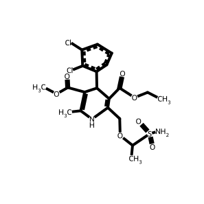 CCOC(=O)C1=C(COC(C)S(N)(=O)=O)NC(C)=C(C(=O)OC)C1c1cccc(Cl)c1Cl